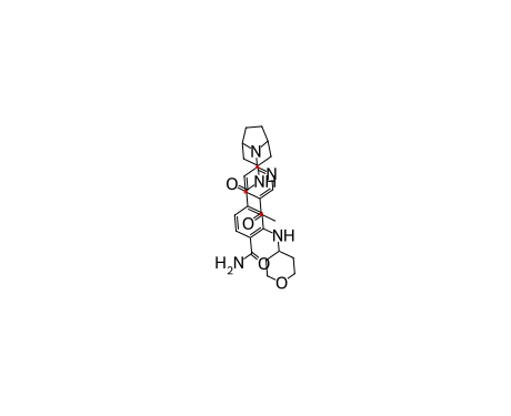 CC(=O)c1ccc(N2C3CCC2CC(NC(=O)c2ccc(C(N)=O)c(NC4CCOCC4)c2)C3)nc1